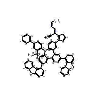 C#C/C(=C\C=C/C)C1=C(c2ccc3c(c2)-c2cc(-c4cccc5oc6ccccc6c45)ccc2-c2cc(-c4cccc5oc6ccccc6c45)ccc2N3c2ccc(-c3ccccc3)cc2C(C)(C)O)C=CC1